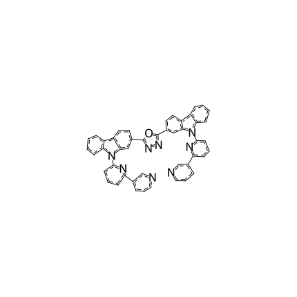 c1cncc(-c2cccc(-n3c4ccccc4c4ccc(-c5nnc(-c6ccc7c8ccccc8n(-c8cccc(-c9cccnc9)n8)c7c6)o5)cc43)n2)c1